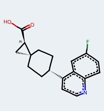 O=C(O)[C@@H]1C[C@]12CC[C@@H](c1ccnc3ccc(F)cc31)CC2